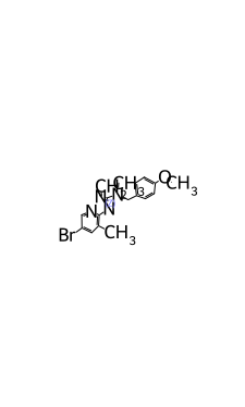 C=N/C(=N\c1ncc(Br)cc1C)N(C)Cc1ccc(OC)cc1